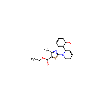 CCOC(=O)c1sc(N2C=CC=CC2C2=CC=CCC2=O)nc1C